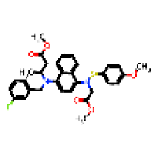 COC(=O)CC(C)N(Cc1cccc(F)c1)c1ccc(N(CC(=O)OC)Sc2ccc(OC)cc2)c2ccccc12